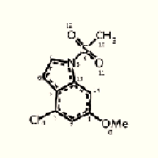 COc1cc(Cl)c2[c]cn(S(C)(=O)=O)c2c1